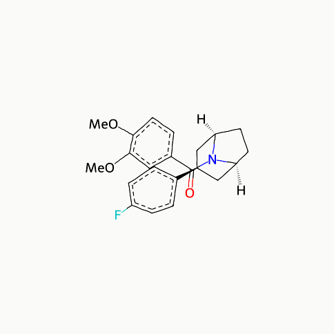 COc1ccc(C(=O)N2[C@@H]3CC[C@H]2C[C@@H](c2ccc(F)cc2)C3)cc1OC